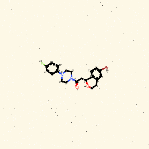 O=C(CC1OCCc2cc(Br)ccc21)N1CCN(c2ccc(F)cc2)CC1